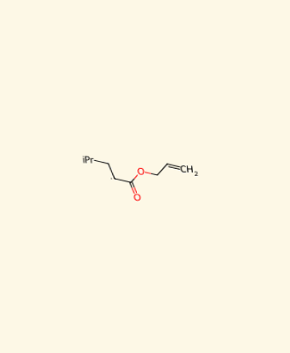 C=CCOC(=O)[CH]CC(C)C